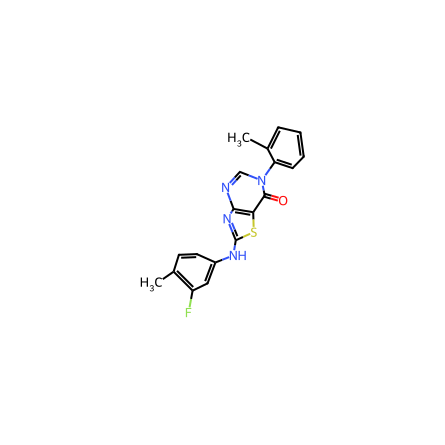 Cc1ccc(Nc2nc3ncn(-c4ccccc4C)c(=O)c3s2)cc1F